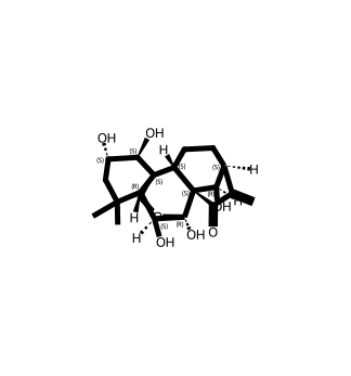 C=C1C(=O)[C@]23[C@H](O)[C@H]1CC[C@H]2[C@@]12CO[C@@]3(O)[C@@H](O)[C@@H]1C(C)(C)C[C@H](O)[C@H]2O